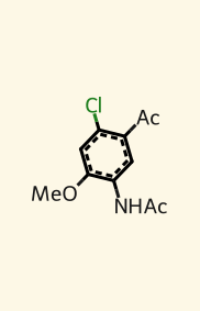 COc1cc(Cl)c(C(C)=O)cc1NC(C)=O